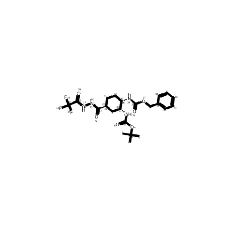 CC(C)(C)OC(=O)N[C@@H]1C[C@@H](C(=O)NNC(=O)C(F)(F)F)CC[C@@H]1NC(=O)OCc1ccccc1